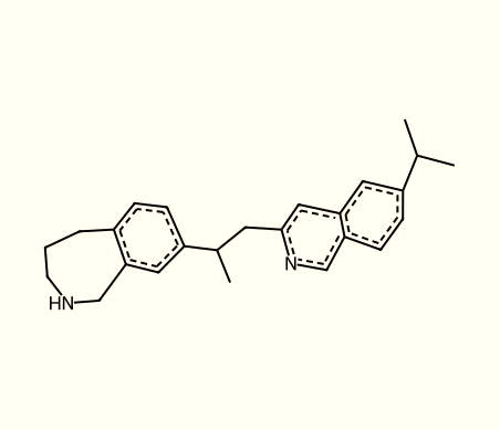 CC(C)c1ccc2cnc(CC(C)c3ccc4c(c3)CNCCC4)cc2c1